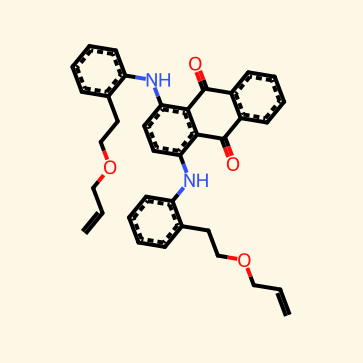 C=CCOCCc1ccccc1Nc1ccc(Nc2ccccc2CCOCC=C)c2c1C(=O)c1ccccc1C2=O